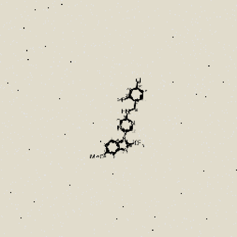 COc1ccc2c(c1)nc(C(F)(F)F)n2-c1cnc(NCc2ccc(Cl)cc2F)cn1